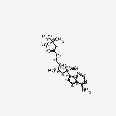 CC(C)(C)CC(=O)OC[C@H]1O[C@@](C#N)(c2ccc3c(N)ncnn23)C[C@@H]1O